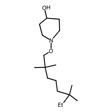 CCC(C)(C)CCCC(C)(C)CON1CCC(O)CC1